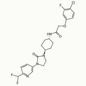 O=C(COc1ccc(Cl)c(F)c1)N[C@H]1CC[C@H](N2CCN(c3ccc(C(F)F)nc3)C2=O)CC1